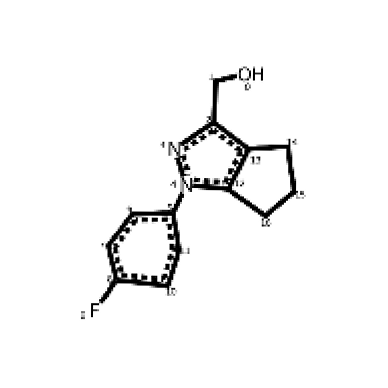 OCc1nn(-c2ccc(F)cc2)c2c1CCC2